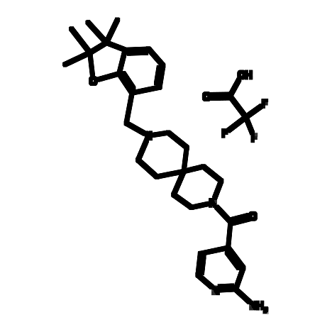 CC1(C)Oc2c(CN3CCC4(CC3)CCN(C(=O)c3ccnc(N)c3)CC4)cccc2C1(C)C.O=C(O)C(F)(F)F